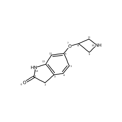 O=C1Cc2ccc(OC3CNC3)cc2N1